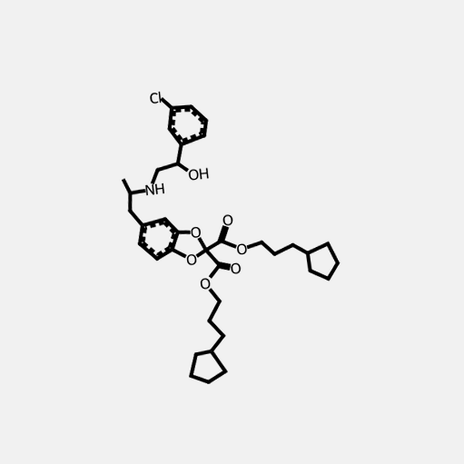 CC(Cc1ccc2c(c1)OC(C(=O)OCCCC1CCCC1)(C(=O)OCCCC1CCCC1)O2)NCC(O)c1cccc(Cl)c1